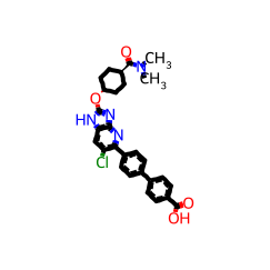 CN(C)C(=O)[C@H]1CC[C@H](Oc2nc3nc(-c4ccc(-c5ccc(C(=O)O)cc5)cc4)c(Cl)cc3[nH]2)CC1